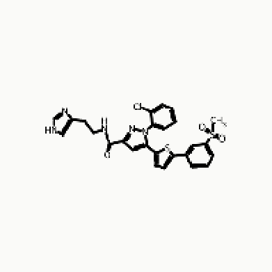 CS(=O)(=O)c1cccc(-c2ccc(-c3cc(C(=O)NCCc4c[nH]cn4)nn3-c3ccccc3Cl)s2)c1